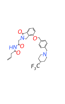 C=CCC(=O)NC(=O)CN1Cc2c(OCc3ccc(CN4CCC(C(F)(F)F)CC4)cc3)cccc2C1=O